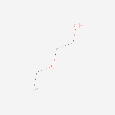 C[C](C)COCCO